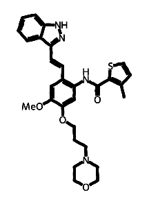 COc1cc(C=Cc2n[nH]c3ccccc23)c(NC(=O)c2sccc2C)cc1OCCCN1CCOCC1